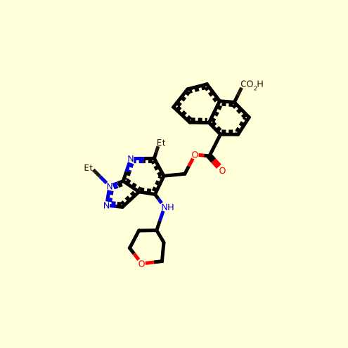 CCc1nc2c(cnn2CC)c(NC2CCOCC2)c1COC(=O)c1ccc(C(=O)O)c2ccccc12